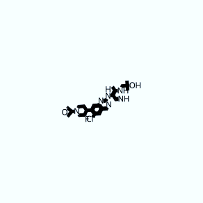 C/C(NCC(C)(C)O)=C(/C=N)Nc1ncc2cc(Cl)c(C3CCN(C4COC4)CC3F)cc2n1